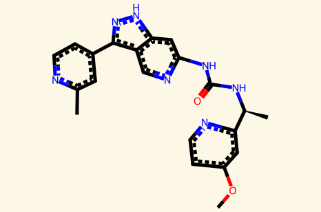 COc1ccnc([C@H](C)NC(=O)Nc2cc3[nH]nc(-c4ccnc(C)c4)c3cn2)c1